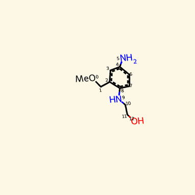 COCc1cc(N)ccc1NCCO